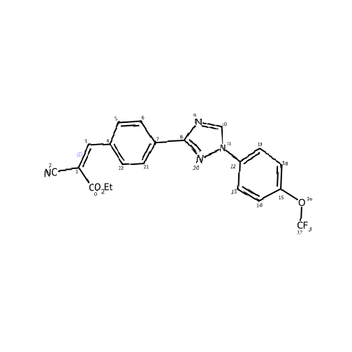 CCOC(=O)/C(C#N)=C\c1ccc(-c2ncn(-c3ccc(OC(F)(F)F)cc3)n2)cc1